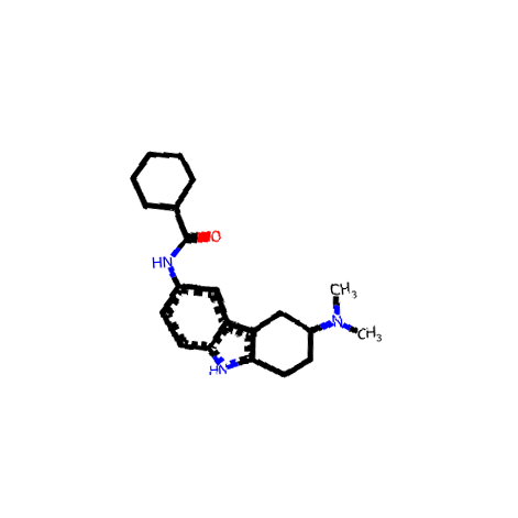 CN(C)C1CCc2[nH]c3ccc(NC(=O)C4CCCCC4)cc3c2C1